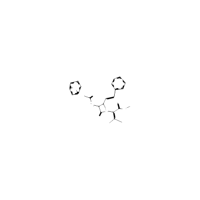 COC(=O)C(=C(C)C)N1C(=O)C(NC(C)=O)C1C=Cc1ccccc1.c1cc2cc(c1)O2